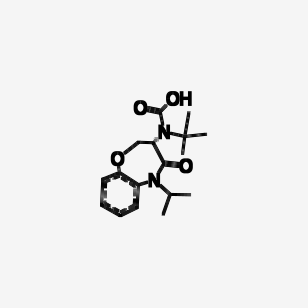 CC(C)N1C(=O)[C@@H](N(C(=O)O)C(C)(C)C)COc2ccccc21